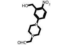 O=CCN1CCN(c2ccc([N+](=O)[O-])c(CO)c2)CC1